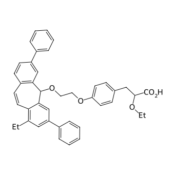 CCOC(Cc1ccc(OCCOC2c3cc(-c4ccccc4)ccc3C=Cc3c(CC)cc(-c4ccccc4)cc32)cc1)C(=O)O